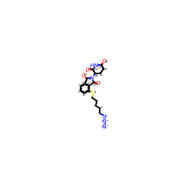 [N-]=[N+]=NCCCCCSc1cccc2c1C(=O)N(C1CCC(=O)NC1=O)C2=O